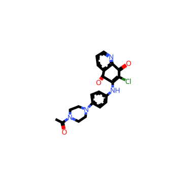 CC(=O)N1CCN(c2ccc(NC3=C(Cl)C(=O)c4ncccc4C3=O)cc2)CC1